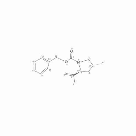 C=C(C)[C@@H]1C[C@@H](C)CN1C(=O)OCc1ccccc1